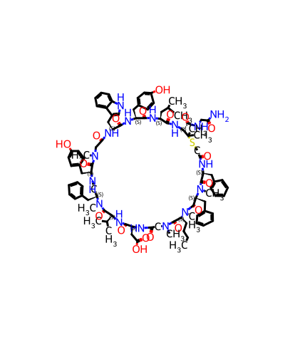 CCCC[C@H]1C(=O)N(C)CC(=O)N[C@@H](CC(=O)O)C(=O)N[C@@H](C(C)C)C(=O)N(C)[C@@H](Cc2ccccc2)CN[C@@H](Cc2ccc(O)cc2)C(=O)N(C)CC(=O)N[C@@H](Cc2c[nH]c3ccccc23)C(=O)N[C@@H](Cc2ccc(O)cc2)C(=O)N[C@@H](CC(C)C)C(=O)N[C@H](C(=O)NCC(N)=O)C(C)(C)SCC(=O)N[C@@H](Cc2ccccc2)C(=O)N(C)[C@@H](Cc2ccccc2)C(=O)N1C